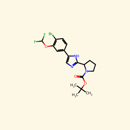 CC(C)(C)OC(=O)N1CCCC1c1ncc(-c2ccc(Br)c(OC(F)F)c2)[nH]1